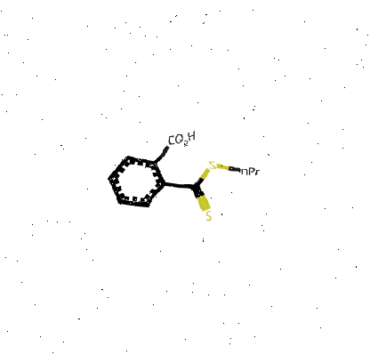 CCCSC(=S)c1ccccc1C(=O)O